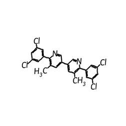 Cc1cc(-c2cnc(-c3cc(Cl)cc(Cl)c3)c(C)c2)cnc1-c1cc(Cl)cc(Cl)c1